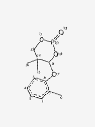 Cc1ccccc1OC1O[P](=O)OCC1(C)C